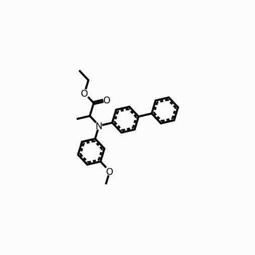 CCOC(=O)C(C)N(c1ccc(-c2ccccc2)cc1)c1cccc(OC)c1